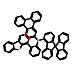 c1ccc(N(c2ccc3c4ccccc4c4ccccc4c3c2)c2cccc3c2-c2ccccc2C32c3ccccc3-c3ccccc32)c(-c2cccc3c2sc2ccccc23)c1